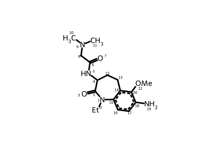 CCN1C(=O)C(NC(=O)CN(C)C)CCc2c1ccc(N)c2OC